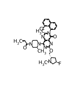 C=CC(=O)N1CCN(c2nc(OC[C@@H]3C[C@@H](F)CN3C)nc3c(=O)n(-c4cccc5cccc(Cl)c45)c(C)nc23)[C@@H](C)C1